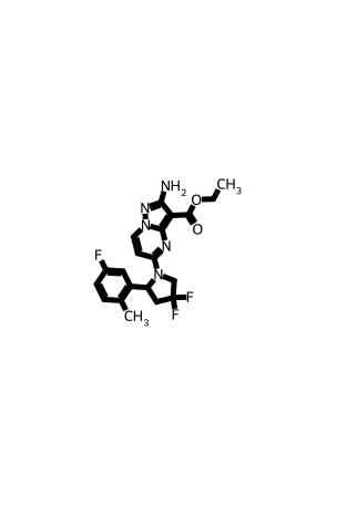 CCOC(=O)c1c(N)nn2ccc(N3CC(F)(F)CC3c3cc(F)ccc3C)nc12